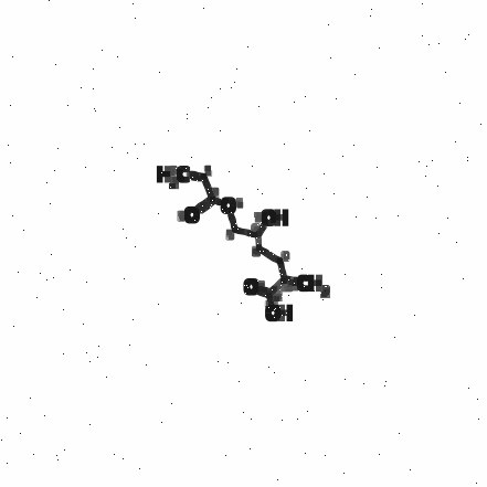 C=CC(=O)OCC(O)CCC(=C)C(=O)O